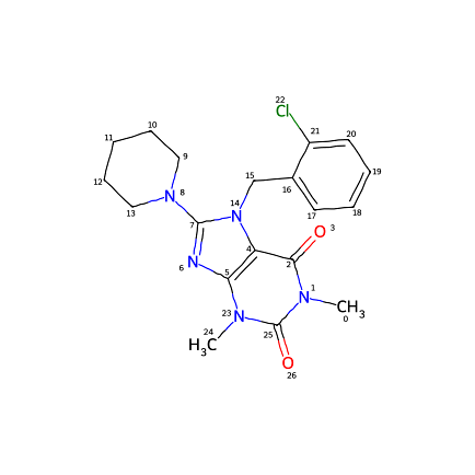 Cn1c(=O)c2c(nc(N3CCCCC3)n2Cc2ccccc2Cl)n(C)c1=O